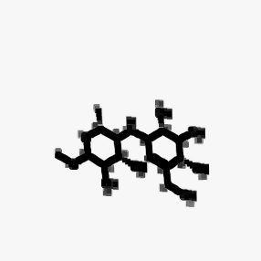 COC1O[C@H](C)C(NC2C=C(CO)[C@@H](O)C(O)[C@H]2O)[C@H](O)C1O